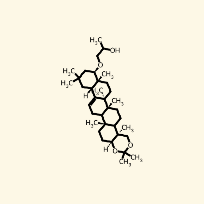 CC(O)CO[C@@H]1CC(C)(C)C[C@H]2C3=CCC4[C@@]5(C)CC[C@@H]6OC(C)(C)OC[C@]6(C)C5CC[C@@]4(C)[C@]3(C)CC[C@@]12C